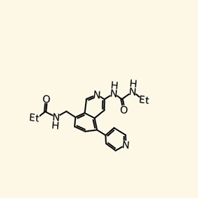 CCNC(=O)Nc1cc2c(-c3ccncc3)ccc(CNC(=O)CC)c2cn1